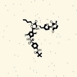 CCCCOC(=O)[C@H](CCc1ccc(-n2c(=O)ccn(C)c2=O)nc1)NC(=O)c1cc(F)c(NS(=O)(=O)c2ccc(NC(=O)C(C)(C)C)cc2)cc1F